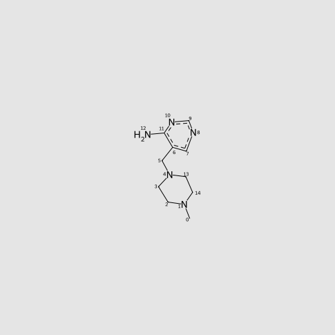 CN1CCN(Cc2cncnc2N)CC1